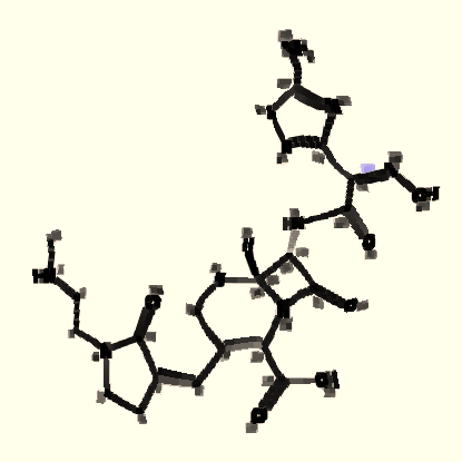 CNCCN1CCC(=CC2=C(C(=O)O)N3C(=O)[C@@H](NC(=O)/C(=N\O)c4nsc(N)n4)[C@H]3SC2)C1=O